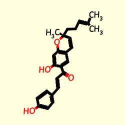 CC(C)=CCC[C@]1(C)C=Cc2cc(C(=O)/C=C/c3ccc(O)cc3)c(O)cc2O1